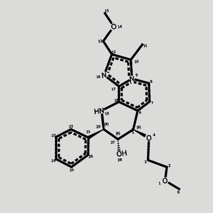 COCCO[C@@H]1c2ccn3c(C)c(COC)nc3c2N[C@H](c2ccccc2)[C@H]1O